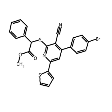 COC(=O)C(Sc1nc(-c2cccs2)cc(-c2ccc(Br)cc2)c1C#N)c1ccccc1